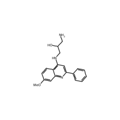 COc1ccc2c(NCC(O)CN)cc(-c3ccccc3)nc2c1